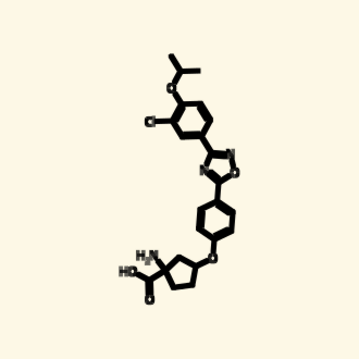 CC(C)Oc1ccc(-c2noc(-c3ccc(OC4CCC(N)(C(=O)O)C4)cc3)n2)cc1Cl